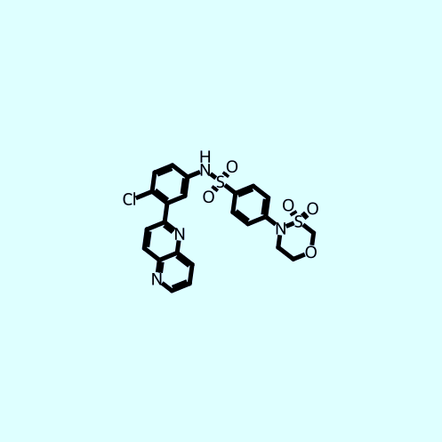 O=S(=O)(Nc1ccc(Cl)c(-c2ccc3ncccc3n2)c1)c1ccc(N2CCOCS2(=O)=O)cc1